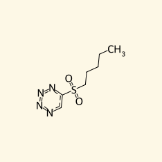 CCCCCS(=O)(=O)c1cnnnn1